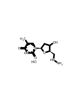 Cc1cn([C@H]2CC(O)[C@@H](CNN)O2)c(=O)[nH]c1=O.Cl